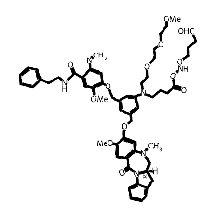 C=Nc1cc(OCc2cc(COc3cc4c(cc3OC)C(=O)N3c5ccccc5C[C@H]3CN4C)cc(N(CCCC(=O)ONOCCCC=O)CCOCCOCCOC)c2)c(OC)cc1C(=O)NCCc1ccccc1